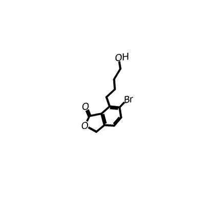 O=C1OCc2ccc(Br)c(CCCCO)c21